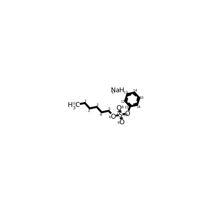 CCCCCCOS(=O)(=O)Oc1ccccc1.[NaH]